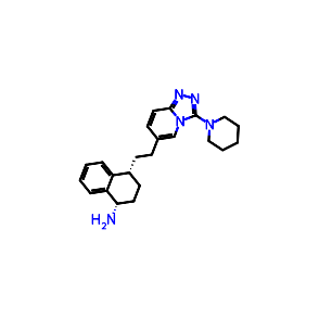 N[C@H]1CC[C@@H](CCc2ccc3nnc(N4CCCCC4)n3c2)c2ccccc21